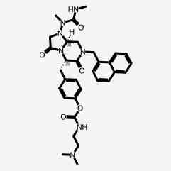 CNC(=O)N(C)N1CC(=O)N2[C@@H](Cc3ccc(OC(=O)NCCN(C)C)cc3)C(=O)N(Cc3cccc4ccccc34)C[C@@H]21